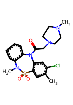 Cc1cc2c(cc1Cl)N(C(=O)CN1CCN(C)CC1)c1ccccc1N(C)S2(=O)=O